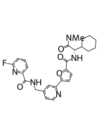 CNC(=O)[C@@H](NC(=O)c1ccc(-c2cc(CNC(=O)c3cccc(F)n3)ccn2)o1)C1CCCCC1